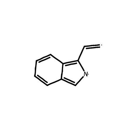 [CH]=CC1=c2ccccc2=C[N]1